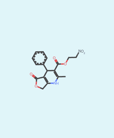 CC1=C(C(=O)OCC[N+](=O)[O-])C(c2ccccc2)C2=C(COC2=O)N1